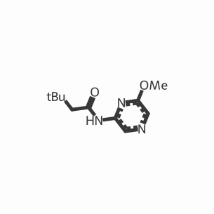 COc1cncc(NC(=O)CC(C)(C)C)n1